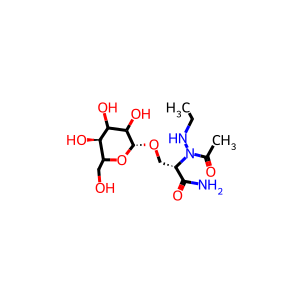 CCNN(C(C)=O)[C@@H](CO[C@@H]1OC(CO)[C@@H](O)C(O)C1O)C(N)=O